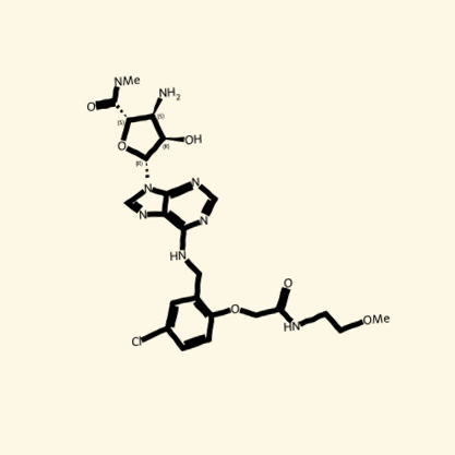 CNC(=O)[C@H]1O[C@@H](n2cnc3c(NCc4cc(Cl)ccc4OCC(=O)NCCOC)ncnc32)[C@H](O)[C@@H]1N